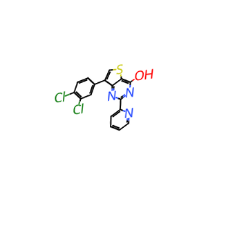 Oc1nc(-c2ccccn2)nc2c(-c3ccc(Cl)c(Cl)c3)csc12